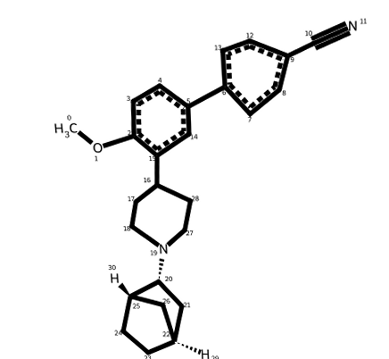 COc1ccc(-c2ccc(C#N)cc2)cc1C1CCN([C@@H]2C[C@H]3CC[C@H]2C3)CC1